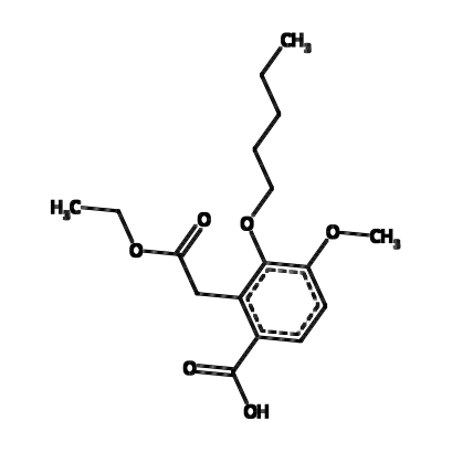 CCCCCOc1c(OC)ccc(C(=O)O)c1CC(=O)OCC